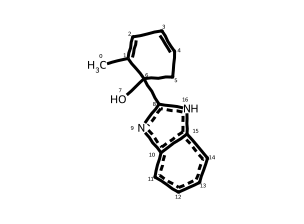 CC1=CC=CCC1(O)c1nc2ccccc2[nH]1